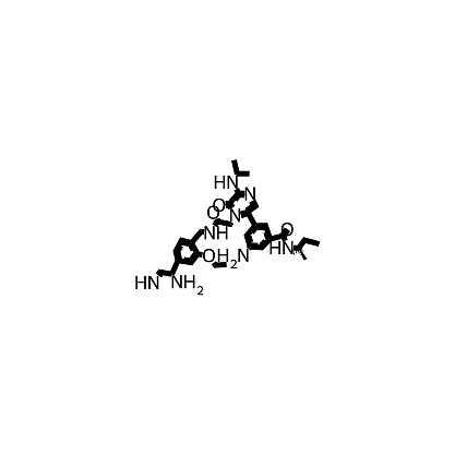 CCOc1cc(C(N)C=N)ccc1CNC(=O)Cn1c(-c2cc(N)cc(C(=O)N[C@H](C)CC)c2)cnc(NC(C)C)c1=O